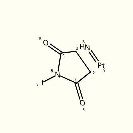 O=C1CCC(=O)N1I.[NH]=[Pt]